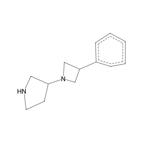 c1ccc(C2CN(C3CCNC3)C2)cc1